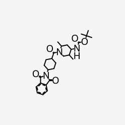 CC1CN(C(=O)C2CCC(N3C(=O)c4ccccc4C3=O)CC2)C(C)CC1NC(=O)OC(C)(C)C